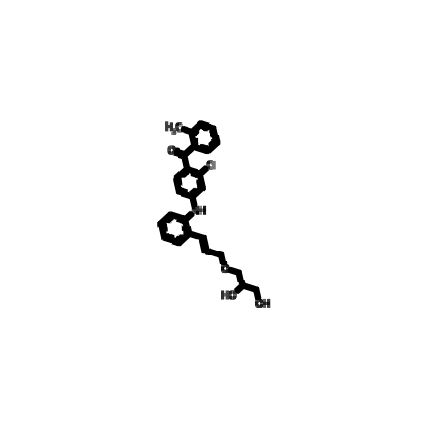 Cc1ccccc1C(=O)c1ccc(Nc2ccccc2C=CCOCC(O)CO)cc1Cl